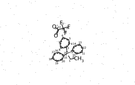 CC[P+](c1ccccc1)(c1ccccc1)c1ccccc1.O=C([O-])C(F)(F)F